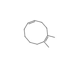 CC1=C(C)CCCCC=CCC1